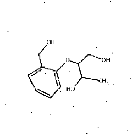 CC(O)C(CO)Oc1ccccc1CO